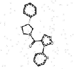 O=C(c1cnoc1-c1ccccn1)N1C[CH][C@H](c2ccccc2)C1